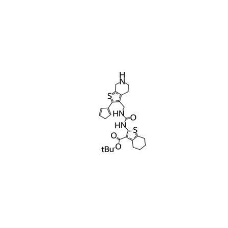 CC(C)(C)OC(=O)c1c(NC(=O)NCc2c(C3=CCC=C3)sc3c2CCNC3)sc2c1CCCC2